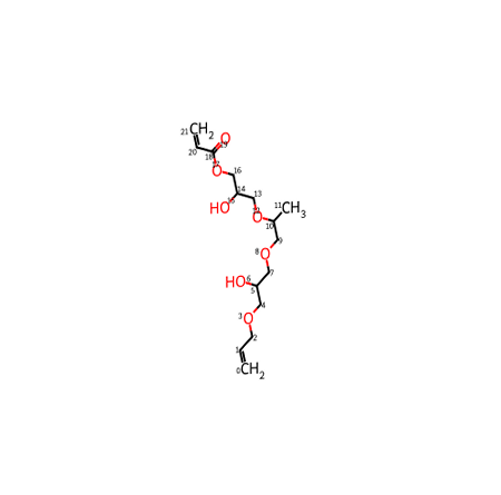 C=CCOCC(O)COCC(C)OCC(O)COC(=O)C=C